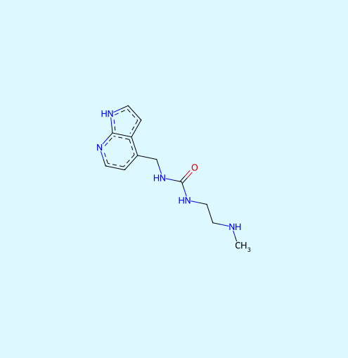 CNCCNC(=O)NCc1ccnc2[nH]ccc12